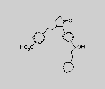 O=C(O)c1ccc(CCC2CCC(=O)C2c2ccc(C(O)CCC3CCCCC3)cc2)cc1